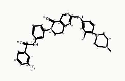 CN1CCN(c2ccc(Nc3ncc4c(n3)CCN(c3cccc(NC(=O)c5cccc(C(F)(F)F)c5)c3)C4=O)cc2F)CC1